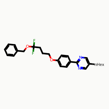 CCCCCCc1cnc(-c2ccc(OCCCC(F)(F)OCc3ccccc3)cc2)nc1